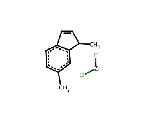 C[C]1C=Cc2ccc(C)cc21.[Cl][Zr][Cl]